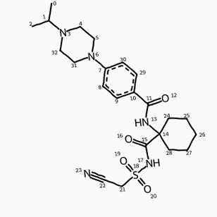 CC(C)N1CCN(c2ccc(C(=O)NC3(C(=O)NS(=O)(=O)CC#N)CCCCC3)cc2)CC1